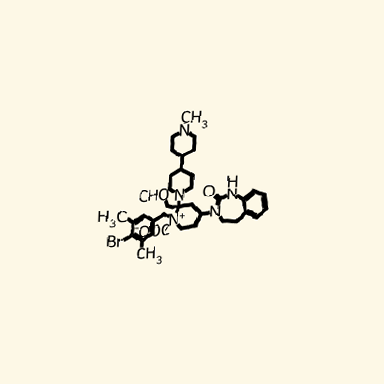 Cc1cc(C[N@+]2(C(=O)[O-])CCC(N3CCc4ccccc4NC3=O)CC2(CC=O)N2CCC(C3CCN(C)CC3)CC2)cc(C)c1Br